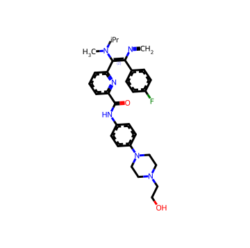 C=N/C(=C(/c1cccc(C(=O)Nc2ccc(N3CCN(CCO)CC3)cc2)n1)N(C)C(C)C)c1ccc(F)cc1